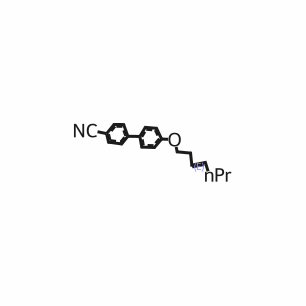 CCC/C=C/CCOc1ccc(-c2ccc(C#N)cc2)cc1